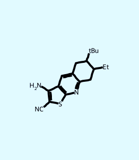 CCC1Cc2nc3sc(C#N)c(N)c3cc2CC1C(C)(C)C